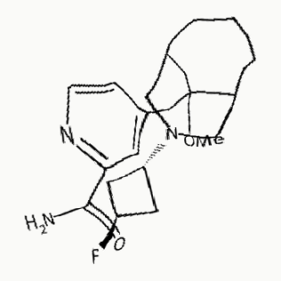 COC1(c2ccnc(C(N)=O)c2)C2CCCC1CN([C@H]1C[C@H](F)C1)C2